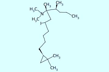 CCC[C@H](C)[C@](C)(CC(I)CCCC[C@@H]1CC1(C)C)N(C)C